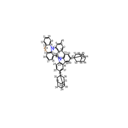 Cc1cc2c3c(c1)N1c4ccccc4Sc4cccc(c41)B3n1c3ccc(C45CC6CC(CC(C6)C4)C5)cc3c3cc(C45CC6CC(CC(C6)C4)C5)cc-2c31